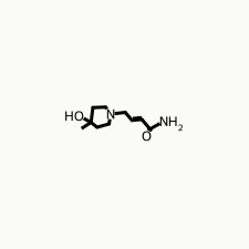 CC1(O)CCN(CC=CC(N)=O)CC1